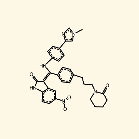 Cn1cnc(-c2ccc(N/C(=C3\C(=O)Nc4ccc([N+](=O)[O-])cc43)c3ccc(CCCN4CCCCC4=O)cc3)cc2)c1